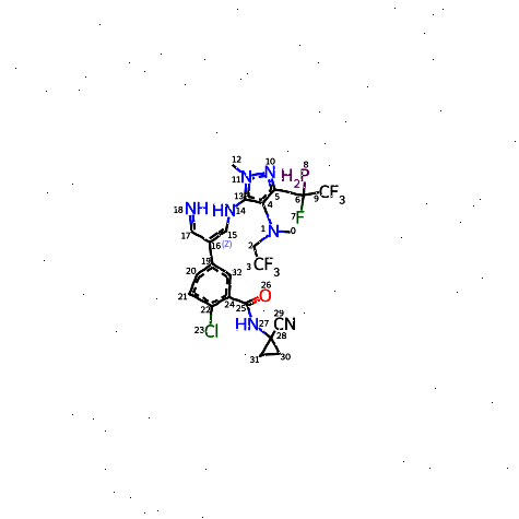 CN(CC(F)(F)F)c1c(C(F)(P)C(F)(F)F)nn(C)c1N/C=C(\C=N)c1ccc(Cl)c(C(=O)NC2(C#N)CC2)c1